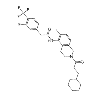 Cc1ccc2c(c1NC(=O)Cc1ccc(C(F)(F)F)c(F)c1)CCN(C(=O)CCC1CCCCC1)C2